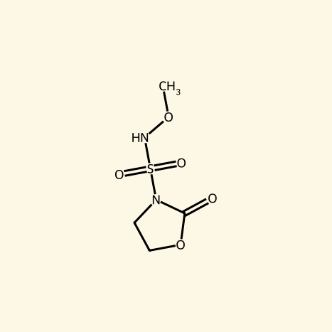 CONS(=O)(=O)N1CCOC1=O